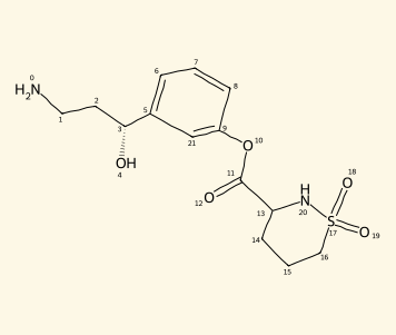 NCC[C@@H](O)c1cccc(OC(=O)C2CCCS(=O)(=O)N2)c1